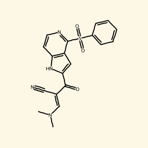 CN(C)C=C(C#N)C(=O)c1cc2c(S(=O)(=O)c3ccccc3)nccc2[nH]1